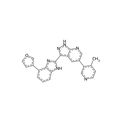 Cc1ccncc1-c1cnc2[nH]nc(-c3nc4c(-c5ccoc5)cccc4[nH]3)c2c1